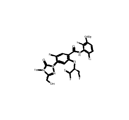 CCn1c(CO)nn(-c2cc(O[C@@H](CF)C(F)F)c(C(=O)Nc3c(Cl)ccc(OC)c3F)cc2F)c1=O